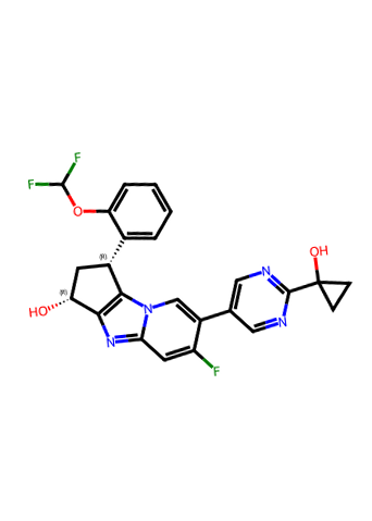 O[C@@H]1C[C@H](c2ccccc2OC(F)F)c2c1nc1cc(F)c(-c3cnc(C4(O)CC4)nc3)cn21